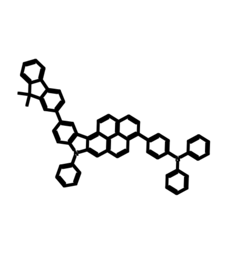 CC1(C)c2ccccc2-c2ccc(-c3ccc4c(c3)c3c5ccc6ccc(-c7ccc(N(c8ccccc8)c8ccccc8)cc7)c7ccc(cc3n4-c3ccccc3)c5c67)cc21